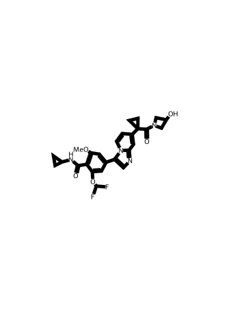 COc1cc(-c2cnc3cc(C4(C(=O)N5CC(O)C5)CC4)ccn23)cc(OC(F)F)c1C(=O)NC1CC1